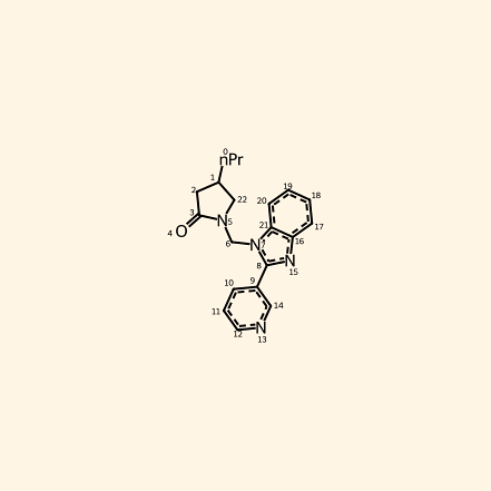 CCCC1CC(=O)N(Cn2c(-c3cccnc3)nc3ccccc32)C1